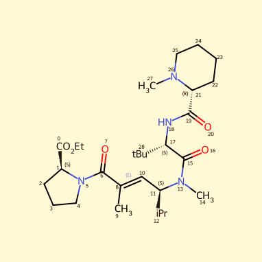 CCOC(=O)[C@@H]1CCCN1C(=O)/C(C)=C/[C@H](C(C)C)N(C)C(=O)[C@@H](NC(=O)[C@H]1CCCCN1C)C(C)(C)C